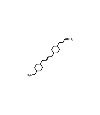 C=CCCC1CCC(CC=CCC2CCC(CC)CC2)CC1